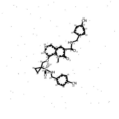 Cn1c(=O)c(C(=O)NCc2ccc(C#N)cc2)cc2cnnc(OCC3(S(=O)(=O)NCc4ccc(C#N)cc4)CC3)c21